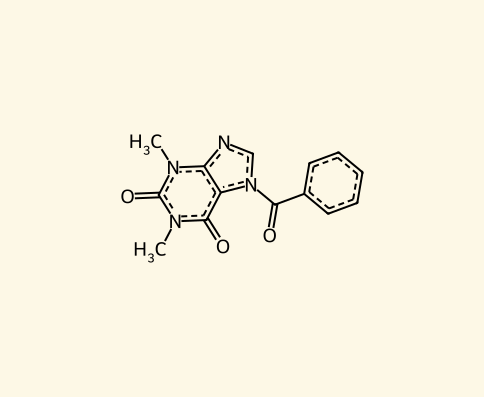 Cn1c(=O)c2c(ncn2C(=O)c2ccccc2)n(C)c1=O